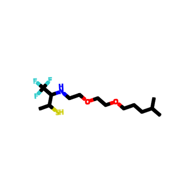 CC(C)CCCOCCOCCNC(C(C)S)C(F)(F)F